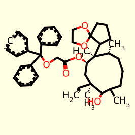 C=C[C@@]1(C)C[C@@H](OC(=O)COC(c2ccccc2)(c2ccccc2)c2ccccc2)[C@@](C)(C2CCCC23OCCO3)[C@H](C)CCCC(C)C1O